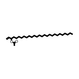 C=CC(CCCCCCCCCCCCCCCCCCCCCCCC)OC(C)=O